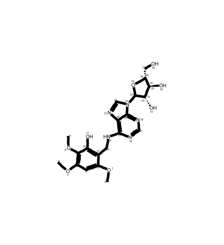 COc1cc(OC)c(OC)c(O)c1CNc1ncnc2c1ncn2C1O[C@H](CO)[C@@H](O)[C@@H]1O